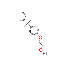 C=CC(=C)C(C)(C)c1ccc(OCCOCC)cc1